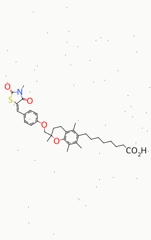 Cc1c(C)c2c(c(C)c1CCCCCCCC(=O)O)CCC(C)(COc1ccc(C=C3SC(=O)N(C)C3=O)cc1)O2